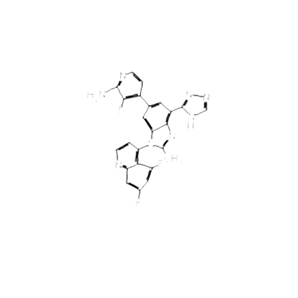 Cc1nc2c(-c3nnc[nH]3)cc(-c3ccnc(N)c3F)cc2n1-c1ccnc2cc(F)cc(F)c12